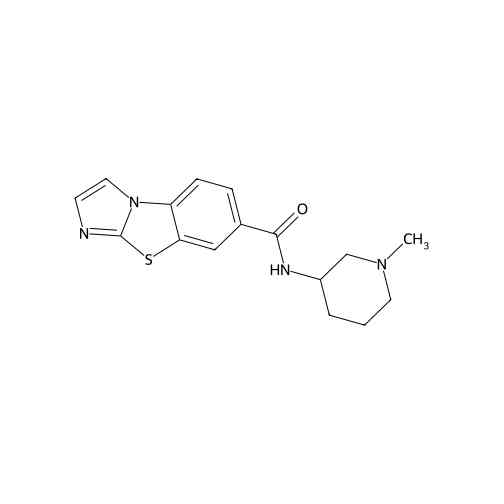 CN1CCCC(NC(=O)c2ccc3c(c2)sc2nccn23)C1